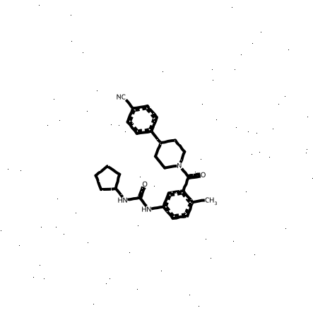 Cc1ccc(NC(=O)NC2CCCC2)cc1C(=O)N1CCC(c2ccc(C#N)cc2)CC1